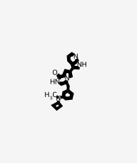 CN(c1cccc(Cc2c[nH]c(=O)c3cc(-c4c[nH]c5ncccc45)cn23)c1)C1CCC1